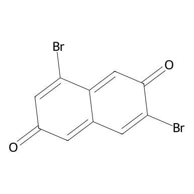 O=C1C=C(Br)C2=CC(=O)C(Br)=CC2=C1